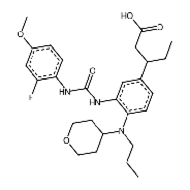 CCCN(c1ccc(C(CC)CC(=O)O)cc1NC(=O)Nc1ccc(OC)cc1F)C1CCOCC1